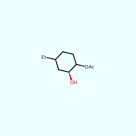 CCC1CCC(OC(C)=O)[C@@H](O)C1